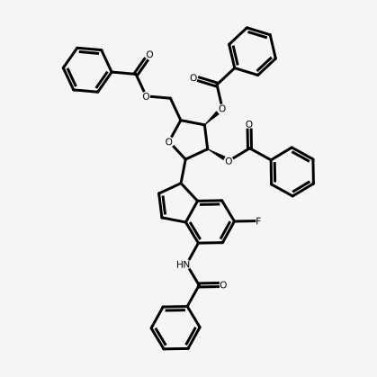 O=C(Nc1cc(F)cc2c1C=CC2C1OC(COC(=O)c2ccccc2)[C@@H](OC(=O)c2ccccc2)[C@H]1OC(=O)c1ccccc1)c1ccccc1